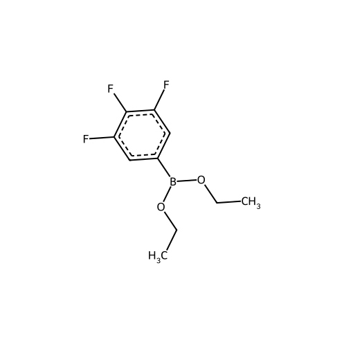 CCOB(OCC)c1cc(F)c(F)c(F)c1